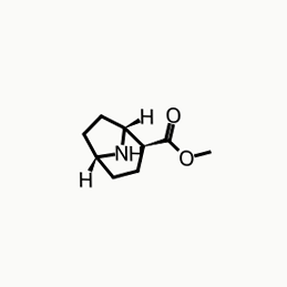 COC(=O)[C@H]1CC[C@@H]2CC[C@H]1N2